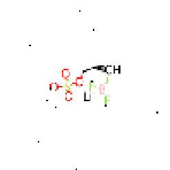 C#CCOS(=O)(=O)[O-].FB(F)F.[Li+]